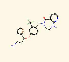 CNCCC(Oc1ccc(CN2CCN(C)c3ncccc3C2=O)c(C(F)(F)F)c1)c1cccs1